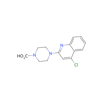 O=C(O)N1CCN(c2cc(Cl)c3ccccc3n2)CC1